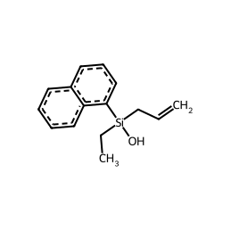 C=CC[Si](O)(CC)c1cccc2ccccc12